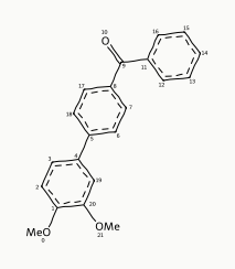 COc1ccc(-c2ccc(C(=O)c3ccccc3)cc2)cc1OC